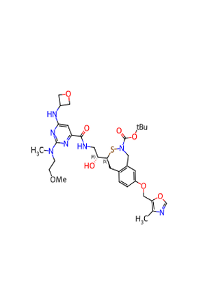 COCCN(C)c1nc(NC2COC2)cc(C(=O)NC[C@@H](O)[C@@H]2Cc3ccc(OCc4ocnc4C)cc3CN(C(=O)OC(C)(C)C)S2)n1